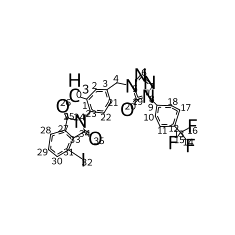 Cc1cc(Cn2nnn(-c3ccc(C(F)(F)F)cc3)c2=O)ccc1N1C(=O)c2cccc(I)c2C1=O